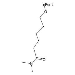 CCCCCOCCCCCC(=O)N(C)C